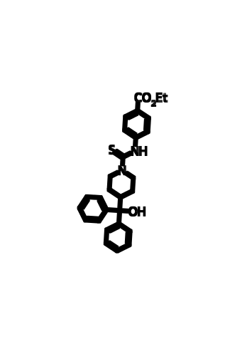 CCOC(=O)c1ccc(NC(=S)N2CCC(C(O)(c3ccccc3)c3ccccc3)CC2)cc1